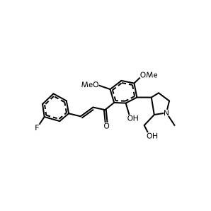 COc1cc(OC)c(C2CCN(C)C2CO)c(O)c1C(=O)C=Cc1cccc(F)c1